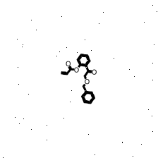 C=CC(=O)Oc1ccccc1C(=O)COCc1ccccc1